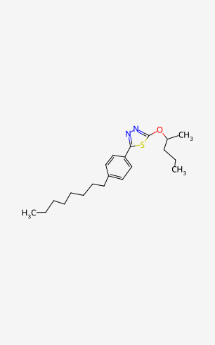 CCCCCCCCc1ccc(-c2nnc(OC(C)CCC)s2)cc1